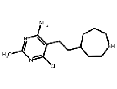 Cc1nc(N)c(CCC2CCCNCC2)c(Cl)n1